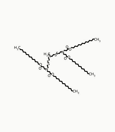 CCCCCCCCCCCCCCOC(=O)CCN(CCSSCCN(C)CCSSCCN(CCC(=O)OCCCCCCCCCCCCCC)CCC(=O)OCCCCCCCCCCCCCC)CCC(=O)OCCCCCCCCCCCCCC